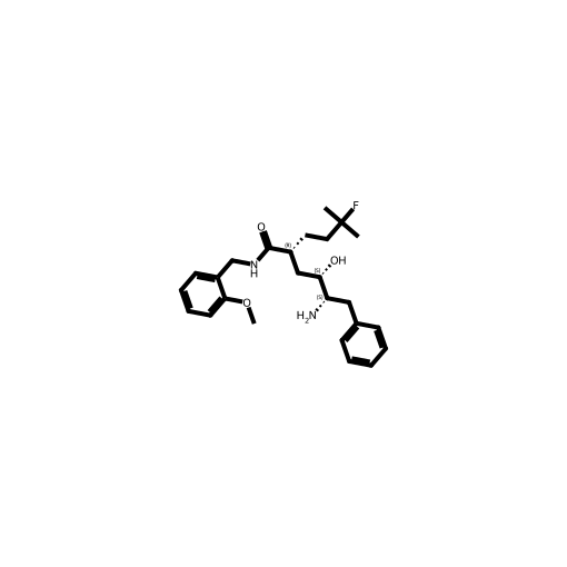 COc1ccccc1CNC(=O)[C@H](CCC(C)(C)F)C[C@H](O)[C@@H](N)Cc1ccccc1